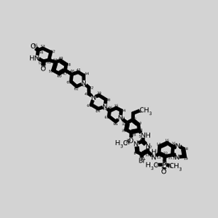 CCc1cc(Nc2ncc(Br)c(Nc3ccc4nccnc4c3P(C)(C)=O)n2)c(OC)cc1N1CCC(N2CCN(CCN3CCC(c4ccc(C5CCC(=O)NC5=O)cc4)CC3)CC2)CC1